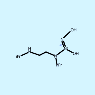 CCCN(CCNC(C)C)/[N+](O)=N/O